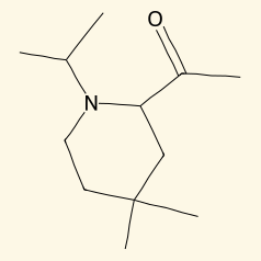 CC(=O)C1CC(C)(C)CCN1C(C)C